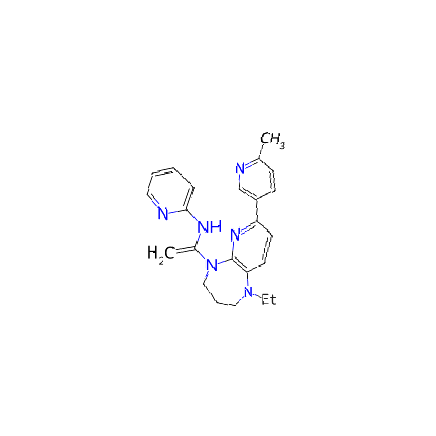 C=C(Nc1ccccn1)N1CCCN(CC)c2ccc(-c3ccc(C)nc3)nc21